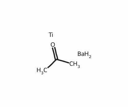 CC(C)=O.[BaH2].[Ti]